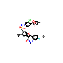 CNC(=O)c1c(-c2ccc(F)cc2)oc2cc(CS(=O)(=O)Nc3ccc([B-]45OCC(C)(CO4)CO5)c(Cl)c3)c(C3CC3)cc12.[KH]